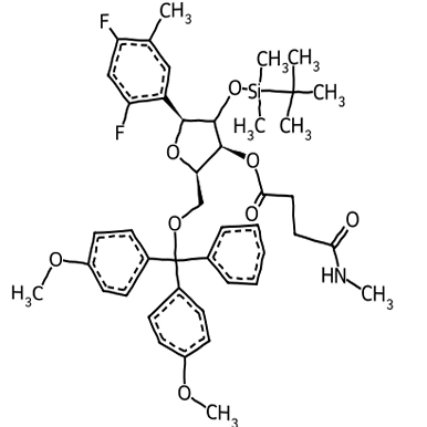 CNC(=O)CCC(=O)O[C@@H]1C(O[Si](C)(C)C(C)(C)C)[C@H](c2cc(C)c(F)cc2F)O[C@@H]1COC(c1ccccc1)(c1ccc(OC)cc1)c1ccc(OC)cc1